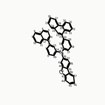 c1cc(-c2cccc3ccccc23)cc(N(c2cccc(-c3cc4ccccc4c4ccccc34)c2)c2ccc3c(c2)oc2ccccc23)c1